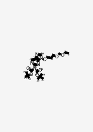 CCOCOCCCOn1cnc2cnc(N(C(=O)OC(C)(C)C)C(=O)OC(C)(C)C)nc21